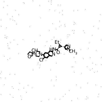 CC[C@@H]1[C@H](C(=O)Nc2cc3cc(N4CCN([C@@]5(C)CCOC5)CC4)c(Cl)cc3cn2)[C@H]1c1cnn(C)c1